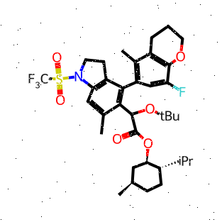 Cc1cc2c(c(-c3cc(F)c4c(c3C)CCCO4)c1C(OC(C)(C)C)C(=O)O[C@@H]1C[C@H](C)CC[C@H]1C(C)C)CCN2S(=O)(=O)C(F)(F)F